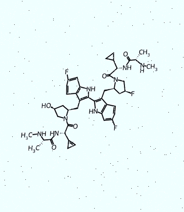 CN[C@@H](C)C(=O)N[C@H](C(=O)N1C[C@@H](O)C[C@H]1Cc1c(-c2[nH]c3cc(F)ccc3c2C[C@@H]2C[C@H](F)CN2C(=O)[C@@H](NC(=O)[C@H](C)NC)C2CC2)[nH]c2cc(F)ccc12)C1=CC1